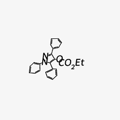 CCOC(=O)Oc1c(-c2ccccc2)nn(-c2ccccc2)c1-c1ccccc1